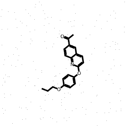 CCCOc1ccc(Oc2ccc3cc(C(C)=O)ccc3n2)cc1